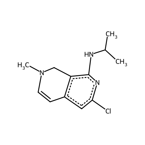 CC(C)Nc1nc(Cl)cc2c1CN(C)C=C2